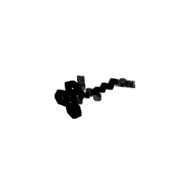 CCCCCCCCCCCCCCCC(=O)OC[C@@H](CO)OC(c1ccccc1)(c1ccccc1)c1ccccc1